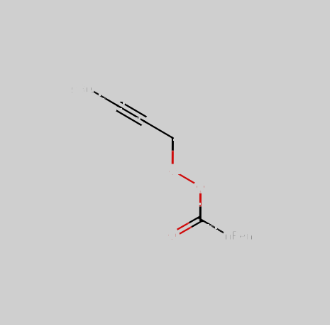 CCCCC#CCOOC(=O)CCCCC